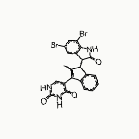 CC1=C(c2c[nH]c(=O)[nH]c2=O)c2ccccc2C1C1C(=O)Nc2c(Br)cc(Br)cc21